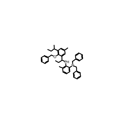 CCC(C)c1cc(C)cc(C(CC)Pc2c(C)cccc2N(Cc2ccccc2)Cc2ccccc2)c1OCc1ccccc1